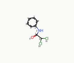 O=C(Nc1ccccc1)[C](Cl)Cl